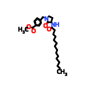 CCCCCCCCCCCCCCC(=O)N[C@@H]1CCN(Cc2ccc(C(=O)OC)cc2)C1=O